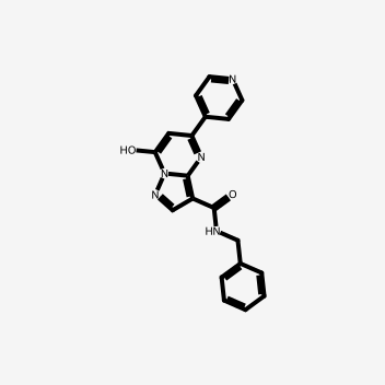 O=C(NCc1ccccc1)c1cnn2c(O)cc(-c3ccncc3)nc12